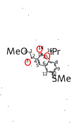 COCC(=O)C(=Cc1cccc(SC)c1)C(=O)OC(C)C